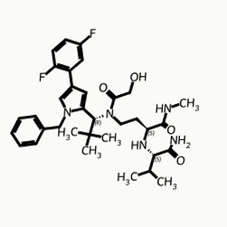 CNC(=O)[C@H](CCN(C(=O)CO)[C@@H](c1cc(-c2cc(F)ccc2F)cn1Cc1ccccc1)C(C)(C)C)N[C@H](C(N)=O)C(C)C